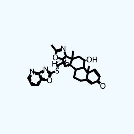 CC1=N[C@]2(C(=O)CSc3nc4ncccc4o3)[C@@H](CC3C4CCC5=CC(=O)C=CC5(C)C4[C@@H](O)CC32C)O1